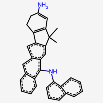 CC1(C)C2=C(CCC(N)=C2)c2cc3cc4ccccc4c(Nc4cccc5ccccc45)c3cc21